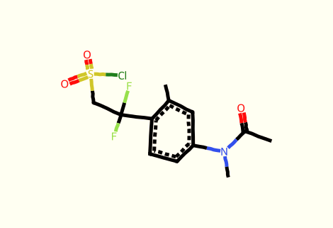 CC(=O)N(C)c1ccc(C(F)(F)CS(=O)(=O)Cl)c(C)c1